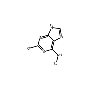 CCNc1nc(Cl)nc2[nH]cnc12